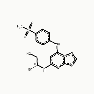 CC[C@H](CO)Nc1cc(Nc2ccc(S(C)(=O)=O)cc2)n2ncnc2n1